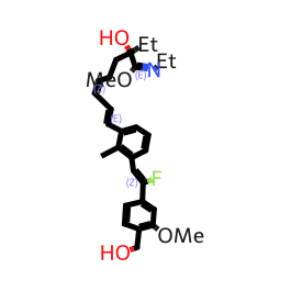 CC/N=C(/OC)C(O)(CC)CC/C=C\C=C\c1cccc(/C=C(\F)c2ccc(CO)c(OC)c2)c1C